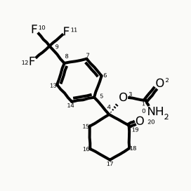 NC(=O)O[C@@]1(c2ccc(C(F)(F)F)cc2)CCCCC1=O